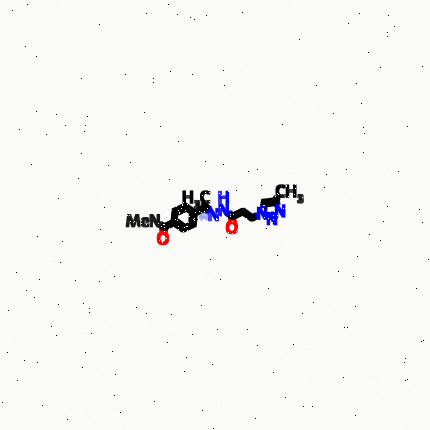 CNC(=O)c1ccc(/C(C)=N/NC(=O)CCn2cc(C)nn2)cc1